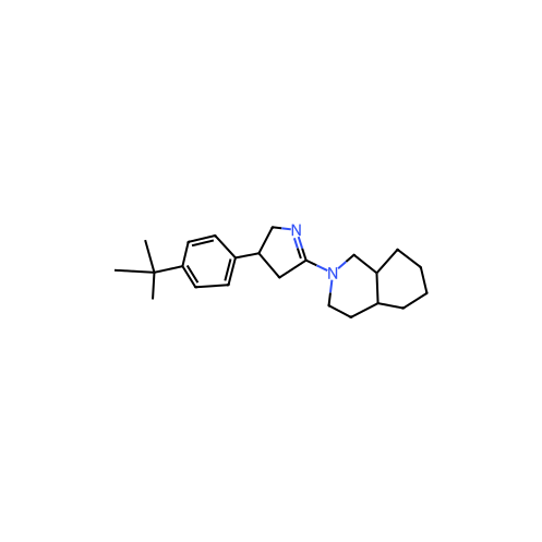 CC(C)(C)c1ccc(C2CN=C(N3CCC4CCCCC4C3)C2)cc1